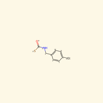 CCc1ccc(CNC(=O)[S])cc1